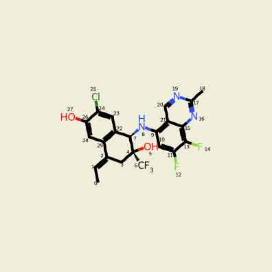 C/C=C1\C[C@](O)(C(F)(F)F)[C@H](Nc2cc(F)c(F)c3nc(C)ncc23)c2cc(Cl)c(O)cc21